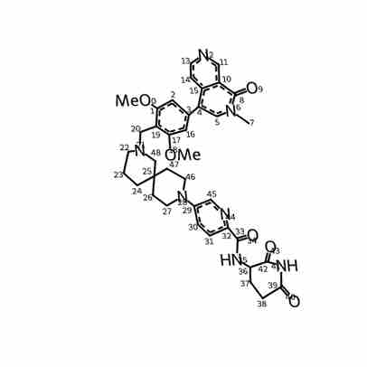 COc1cc(-c2cn(C)c(=O)c3cnccc23)cc(OC)c1CN1CCCC2(CCN(c3ccc(C(=O)NC4CCC(=O)NC4=O)nc3)CC2)C1